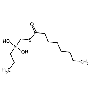 CCCCCCCC(=O)SC[Si](O)(O)CCC